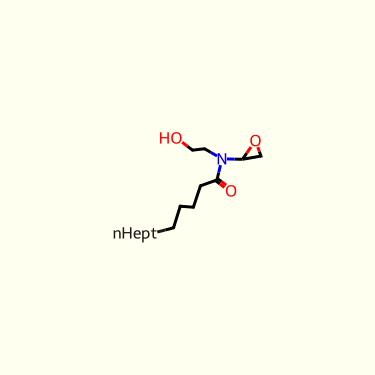 CCCCCCCCCCCC(=O)N(CCO)C1CO1